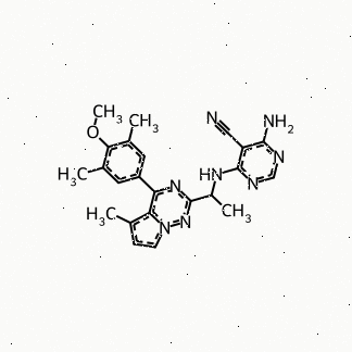 COc1c(C)cc(-c2nc(C(C)Nc3ncnc(N)c3C#N)nn3ccc(C)c23)cc1C